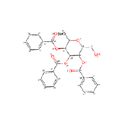 CSC1O[C@H](CO)C(OC(=O)c2ccccc2)C(OC(=O)c2ccccc2)[C@H]1OC(=O)c1ccccc1